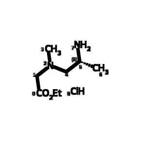 CCOC(=O)CN(C)C[C@@H](C)N.Cl